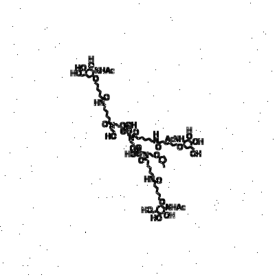 CC(=O)NC1C(OCCCCCC(=O)NCCCCCC(=O)N(CCO)CCOP(=O)(O)OCN(CCOP(=O)(O)OCN(CCOC2CCC(C)C2)C(=O)CCCCCNC(=O)CCCCCOC2CC(CO)C(O)C(O)C2NC(C)=O)C(=O)CCCCCNC(=O)CCCCCOC2CC(CO)C(O)C(O)C2NC(C)=O)CC(CO)C(O)C1O